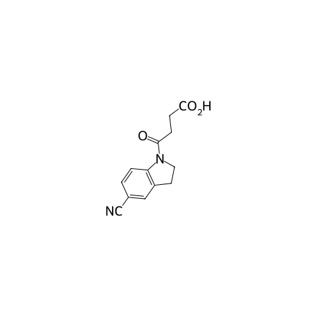 N#Cc1ccc2c(c1)CCN2C(=O)CCC(=O)O